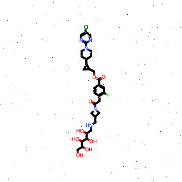 O=C(OCC1CC1C1CCN(c2ncc(Cl)cn2)CC1)c1ccc(CC(=O)N2CC(CNCC(O)C(O)C(O)C(O)CO)C2)c(F)c1